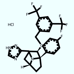 Cl.Fc1ccc([C@]23CC[C@H](CC[C@H]2OCc2cc(C(F)(F)F)cc(C(F)(F)F)c2)N3Cc2nc[nH]n2)cc1